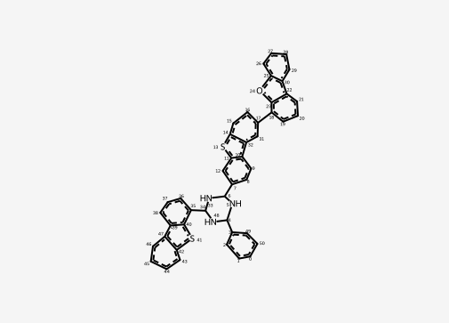 c1ccc(C2NC(c3ccc4c(c3)sc3ccc(-c5cccc6c5oc5ccccc56)cc34)NC(c3cccc4c3sc3ccccc34)N2)cc1